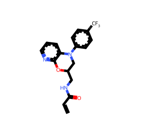 C=CC(=O)NCC1CN(c2ccc(C(F)(F)F)cc2)c2cccnc2O1